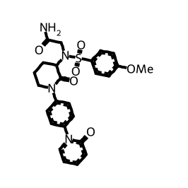 COc1ccc(S(=O)(=O)N(CC(N)=O)C2CCCN(c3ccc(-n4ccccc4=O)cc3)C2=O)cc1